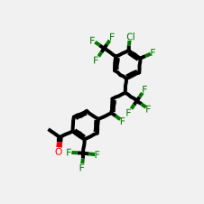 CC(=O)c1ccc(/C(F)=C/C(c2cc(F)c(Cl)c(C(F)(F)F)c2)C(F)(F)F)cc1C(F)(F)F